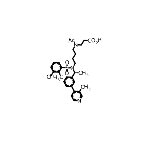 CC(=O)N(CCCCN([C@@H](C)c1cccc(-c2ccncc2C)c1)S(=O)(=O)c1cccc(Cl)c1C)CCC(=O)O